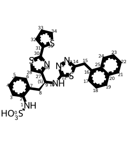 O=S(=O)(O)Nc1cc[c]cc1C[C@H](Nc1nnc(Cc2cccc3ccccc23)s1)c1csc(-c2cccs2)n1